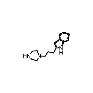 c1ccc2[nH]c(CCCN3CCNCC3)cc2c1